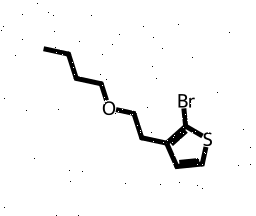 CCCCOCCc1ccsc1Br